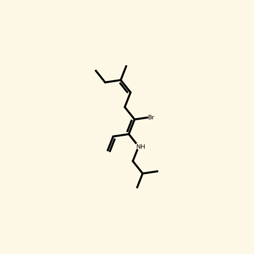 C=C/C(NCC(C)C)=C(/Br)C/C=C(/C)CC